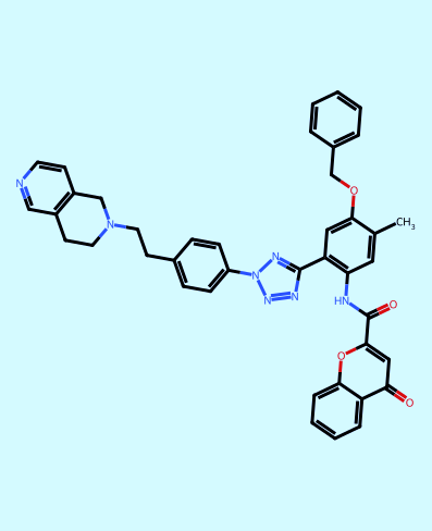 Cc1cc(NC(=O)c2cc(=O)c3ccccc3o2)c(-c2nnn(-c3ccc(CCN4CCc5cnccc5C4)cc3)n2)cc1OCc1ccccc1